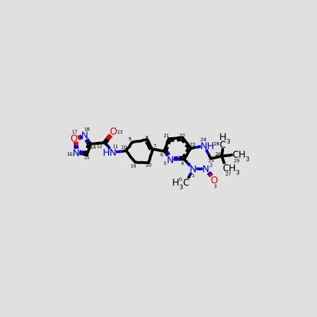 CN(N=O)c1nc(C2=CCC(NC(=O)c3cnon3)CC2)ccc1NCC(C)(C)C